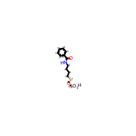 O=C(NCCCCSOS(=O)(=O)O)c1ccccc1